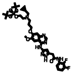 COc1cc2c(Nc3cc(CC(=O)Nc4cccc(F)c4F)[nH]n3)ncnc2cc1OCCCN(CCOP(=O)(OC(C)(C)C)OC(C)(C)C)CC1CC1